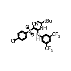 CC(NC(Nc1cc(C(F)(F)F)cc(C(F)(F)F)c1)=C(C#N)S(=O)(=O)c1ccc(Cl)cc1)C(C)(C)C